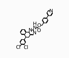 O=C(Nc1ncc2c(n1)-c1ccccc1C(c1ccc(Cl)c(Cl)c1)C2)OCc1ccc(-c2ccncc2)cc1